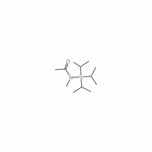 CC(=O)N(C)S(C(C)C)(C(C)C)C(C)C